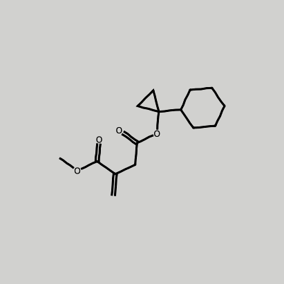 C=C(CC(=O)OC1(C2CCCCC2)CC1)C(=O)OC